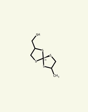 CC1CS[C@]2(SCC(CS)S2)S1